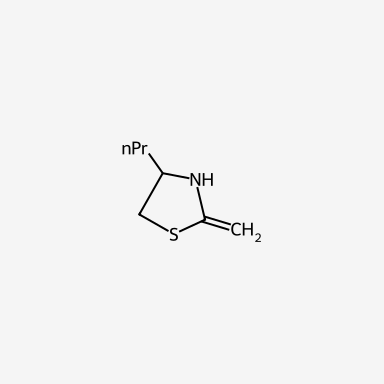 C=C1NC(CCC)CS1